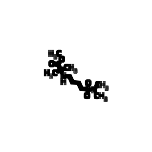 COC(=O)C(C)(C)NCCCCS(=O)(=O)N(C)C